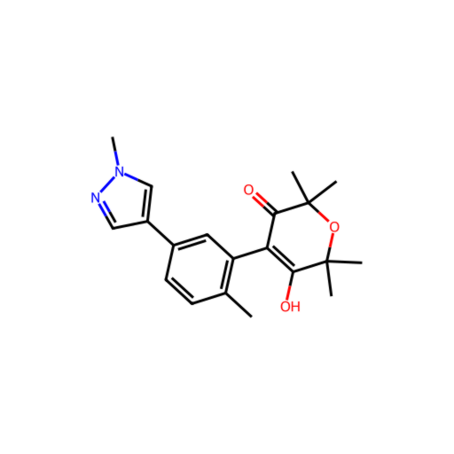 Cc1ccc(-c2cnn(C)c2)cc1C1=C(O)C(C)(C)OC(C)(C)C1=O